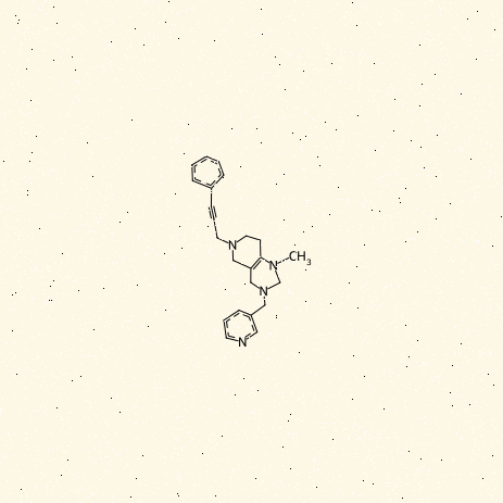 CN1CN(Cc2cccnc2)CC2=C1CCN(CC#Cc1ccccc1)C2